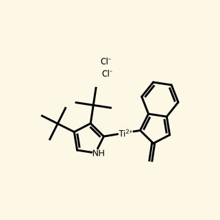 C=C1C=c2ccccc2=[C]1[Ti+2][c]1[nH]cc(C(C)(C)C)c1C(C)(C)C.[Cl-].[Cl-]